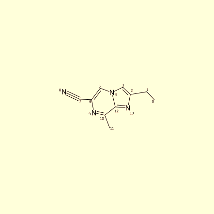 CCc1cn2cc(C#N)nc(C)c2n1